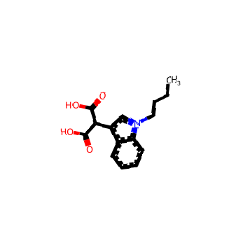 CCCCn1cc(C(C(=O)O)C(=O)O)c2ccccc21